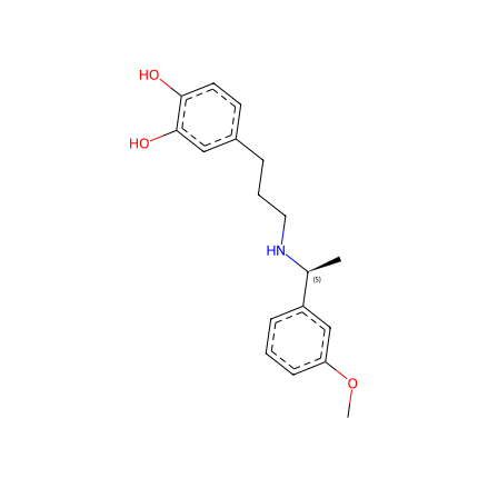 COc1cccc([C@H](C)NCCCc2ccc(O)c(O)c2)c1